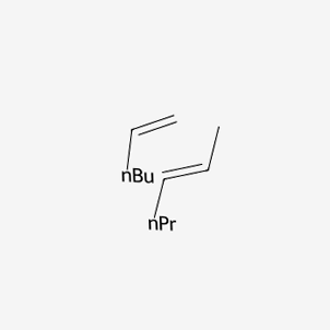 C=CCCCC.CC=CCCC